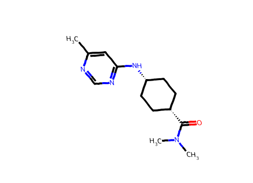 Cc1cc(N[C@H]2CC[C@@H](C(=O)N(C)C)CC2)ncn1